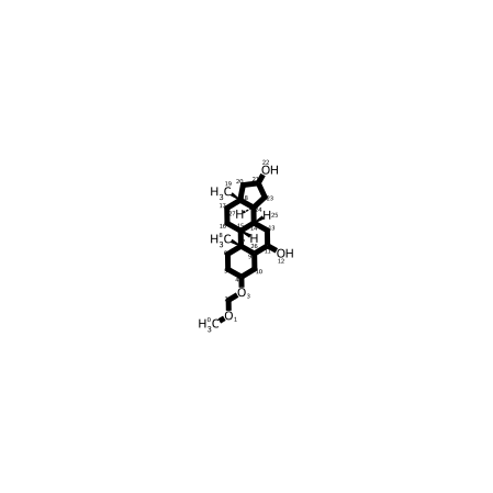 COCOC1CC[C@@]2(C)C(C1)C(O)C[C@@H]1[C@H]2CC[C@]2(C)CC(O)C[C@@H]12